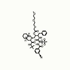 COCCOCCOCC(=O)OC(CN1C[C@H]2CCCC[C@H]2CC1C(=O)NC(C)(C)C)C(Cc1ccccc1)NC(=O)[C@@H](NC(=O)c1cccc(C#N)c1)C(C)(C)S(C)(=O)=O